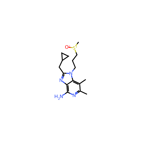 Cc1nc(N)c2nc(CC3CC3)n(CCC[S+](C)[O-])c2c1C